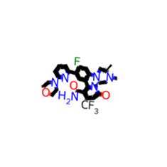 C[C@@H]1CN(c2cc(F)c(-c3cccc(N4CCOCC4)n3)cc2-c2c(C(N)=O)c(C(F)(F)F)cc(=O)n2C)CCN1C